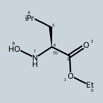 CCOC(=O)[C@H](CC(C)C)NO